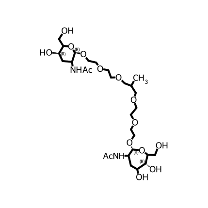 CC(=O)NC1CC(O)[C@@H](O)C(CO)O[C@H]1OCCOCCOCC(C)COCCOCCO[C@@H]1OC(CO)[C@H](O)CC1NC(C)=O